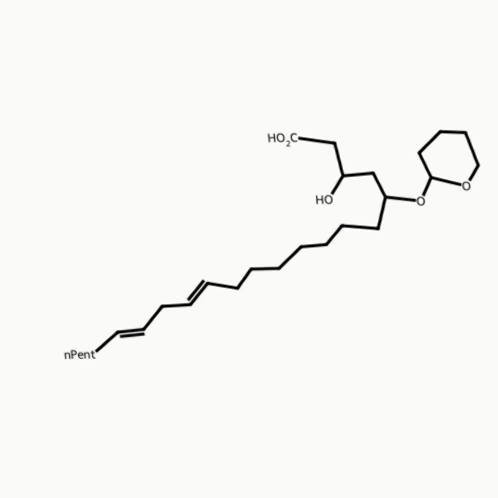 CCCCCC=CCC=CCCCCCCCC(CC(O)CC(=O)O)OC1CCCCO1